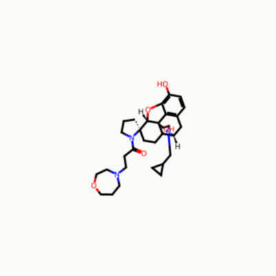 O=C(CCN1CCCOCC1)N1CCC[C@]12CC[C@@]1(O)[C@H]3Cc4ccc(O)c5c4[C@@]1(CCN3CC1CC1)[C@H]2O5